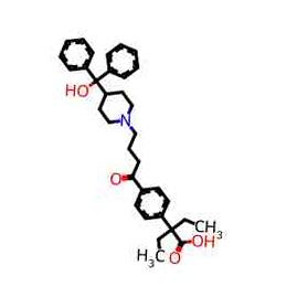 CCC(CC)(C(=O)O)c1ccc(C(=O)CCCN2CCC(C(O)(c3ccccc3)c3ccccc3)CC2)cc1